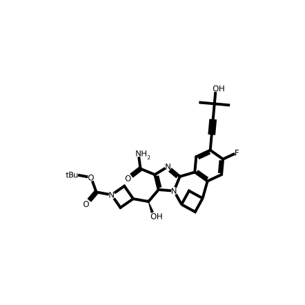 CC(C)(O)C#Cc1cc2c(cc1F)C1CC(C1)n1c-2nc(C(N)=O)c1[C@@H](O)C1CN(C(=O)OC(C)(C)C)C1